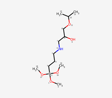 CO[Si](CCCNCC(O)COC(C)C)(OC)OC